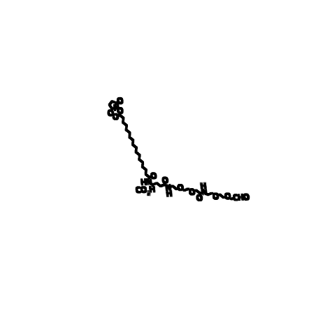 O=CCOCCOCCNC(=O)COCCOCCNC(=O)CC[C@H](NC(=O)CCCCCCCCCCCCCCCCC(=O)ON1C(=O)CCC1=O)C(=O)O